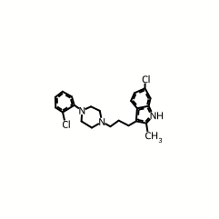 Cc1[nH]c2cc(Cl)ccc2c1CCCN1CCN(c2ccccc2Cl)CC1